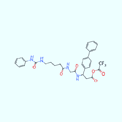 O=C(CCCCNC(=O)Nc1ccccc1)NCC(=O)NC(CC(=O)OC(=O)C(F)(F)F)c1ccc(-c2ccccc2)cc1